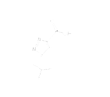 CC(C)(C)[C@H]1C=C(C(=O)O)N=N1